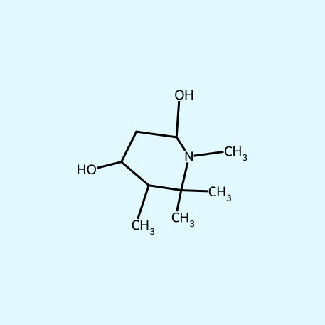 CC1C(O)CC(O)N(C)C1(C)C